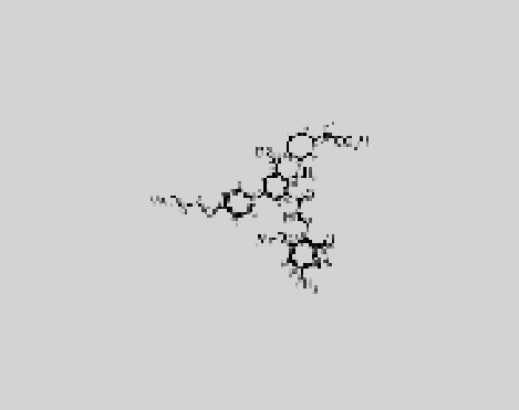 CCN(c1cc(-c2ccc(OCCOC)cc2)cc(C(=O)NCc2c(OC)cc(C)[nH]c2=O)c1C)[C@H]1CC[C@H](NC(=O)O)CC1